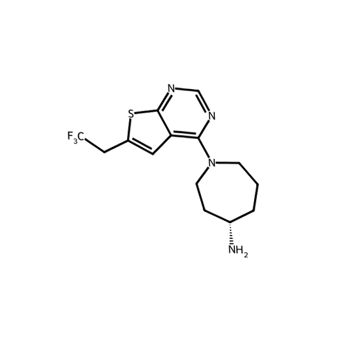 N[C@H]1CCCN(c2ncnc3sc(CC(F)(F)F)cc23)CC1